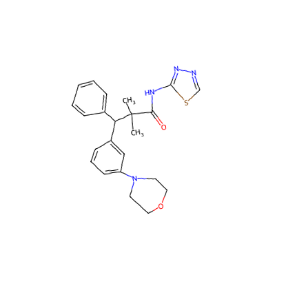 CC(C)(C(=O)Nc1nncs1)C(c1ccccc1)c1cccc(N2CCOCC2)c1